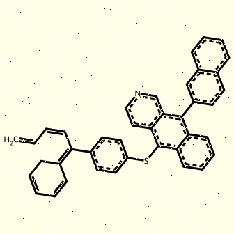 C=C/C=C\C(=C1\C=CC=CC1)c1ccc(Sc2c3ccccc3c(-c3ccc4ccccc4c3)c3cnccc23)cc1